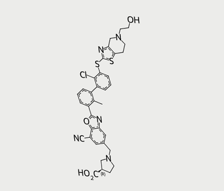 Cc1c(-c2nc3cc(CN4CC[C@@H](C(=O)O)C4)cc(C#N)c3o2)cccc1-c1cccc(Sc2nc3c(s2)CCN(CCO)C3)c1Cl